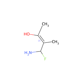 C/C(O)=C(\C)C(N)F